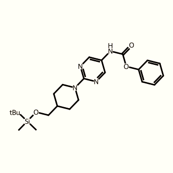 CC(C)(C)[Si](C)(C)OCC1CCN(c2ncc(NC(=O)Oc3ccccc3)cn2)CC1